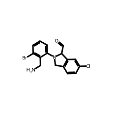 NCc1c(Br)cccc1N1Cc2ccc(Cl)cc2C1C=O